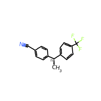 C[C@@H](c1ccc(C#N)cc1)c1ccc(C(F)(F)F)cc1